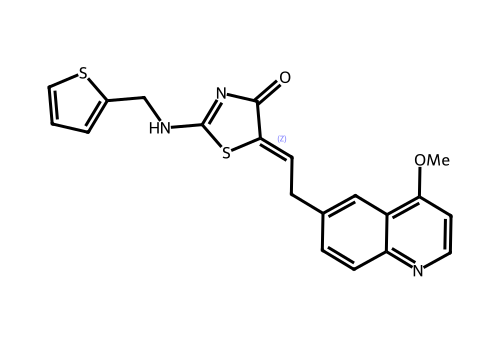 COc1ccnc2ccc(C/C=C3\SC(NCc4cccs4)=NC3=O)cc12